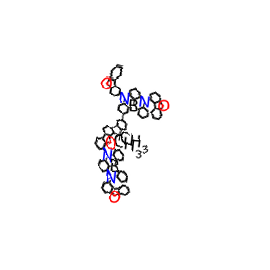 CC1(C)c2ccc(-c3ccc4c(c3)B3c5ccccc5N(c5cccc6oc7ccccc7c56)c5cccc(c53)N4c3ccc4oc5ccccc5c4c3)cc2-c2ccc3c(oc4c(N5c6ccccc6B6c7ccccc7N(c7cccc8oc9ccccc9c78)c7cccc5c76)cccc43)c21